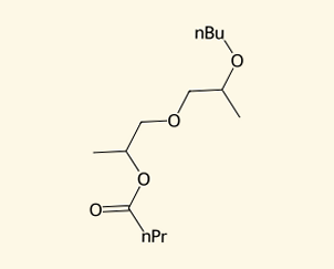 CCCCOC(C)COCC(C)OC(=O)CCC